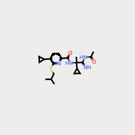 CC(=O)NC(=N)C(C)(NC(=O)c1ccc(C2CC2)c(SCC(C)C)n1)C1CC1